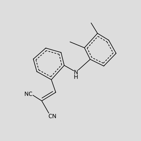 Cc1cccc(Nc2ccccc2C=C(C#N)C#N)c1C